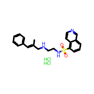 C/C(=C\c1ccccc1)CNCCNS(=O)(=O)c1cccc2cnccc12.Cl.Cl